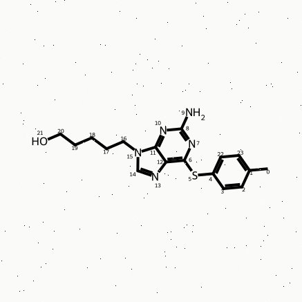 Cc1ccc(Sc2nc(N)nc3c2ncn3CCCCCO)cc1